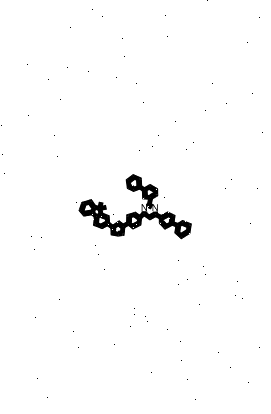 CC1(C)c2ccccc2-c2ccc(-c3cccc(-c4ccc(-c5cc(-c6ccc(-c7ccccc7)cc6)nc(-c6cccc(-c7ccccc7)c6)n5)cc4)c3)cc21